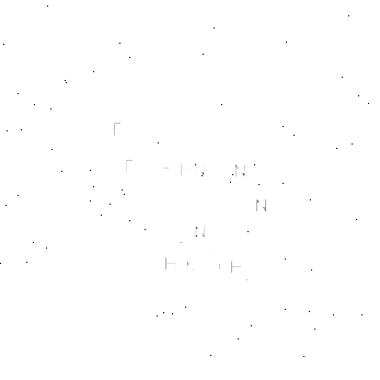 C=C1C=c2ncnc(NCc3cccc(C(F)F)c3F)c2=CN1C1(C)CC1